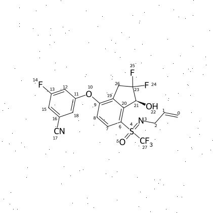 C=CCN=S(=O)(c1ccc(Oc2cc(F)cc(C#N)c2)c2c1[C@H](O)C(F)(F)C2)C(F)(F)F